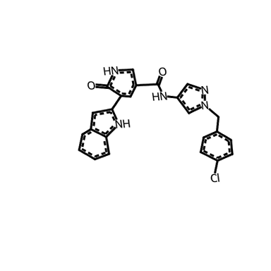 O=C(Nc1cnn(Cc2ccc(Cl)cc2)c1)c1c[nH]c(=O)c(-c2cc3ccccc3[nH]2)c1